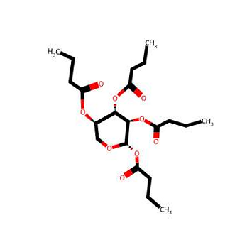 CCCC(=O)O[C@@H]1OC[C@@H](OC(=O)CCC)[C@H](OC(=O)CCC)[C@H]1OC(=O)CCC